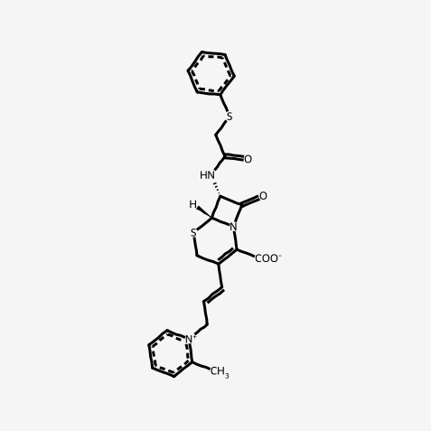 Cc1cccc[n+]1CC=CC1=C(C(=O)[O-])N2C(=O)[C@@H](NC(=O)CSc3ccccc3)[C@H]2SC1